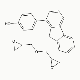 C(OCC1CO1)C1CO1.Oc1ccc(-c2cccc3c2Cc2ccccc2-3)cc1